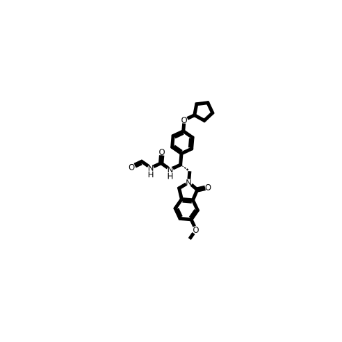 COc1ccc2c(c1)C(=O)N(C[C@H](NC(=O)NC=O)c1ccc(OC3CCCC3)cc1)C2